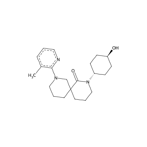 Cc1cccnc1N1CCCC2(CCCN([C@H]3CC[C@H](O)CC3)C2=O)C1